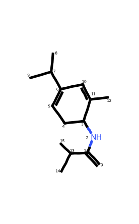 C=C(NC1CC=C(C(C)C)C=C1C)C(C)C